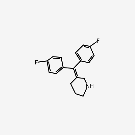 Fc1ccc(C(=C2CCCNC2)c2ccc(F)cc2)cc1